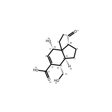 CCC12[C@H](C=O)CC[C@H]1[C@H](CO)C(C(=O)O)=C[C@@H]2O